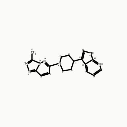 FC(F)(F)c1nnc2ccc(N3CCC(c4c[nH]c5ncccc45)CC3)nn12